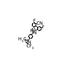 Cn1cc(C(F)(F)F)nc1-c1ccc(-c2noc(-c3ccc(F)cc3-c3cccc(F)c3C#N)n2)cc1